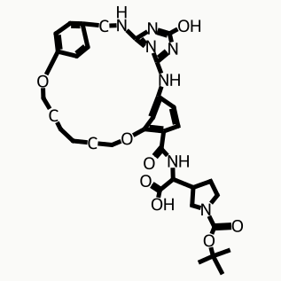 CC(C)(C)OC(=O)N1CCC(C(NC(=O)c2ccc3cc2OCCCCCCOc2ccc(cc2)CNc2nc(O)nc(n2)N3)C(=O)O)C1